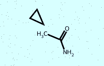 C1CC1.CC(N)=O